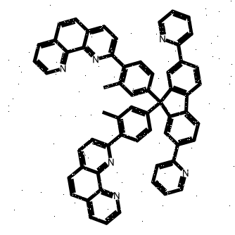 Cc1cc(C2(c3ccc(-c4ccc5ccc6cccnc6c5n4)c(C)c3)c3cc(-c4ccccn4)ccc3-c3ccc(-c4ccccn4)cc32)ccc1-c1ccc2ccc3cccnc3c2n1